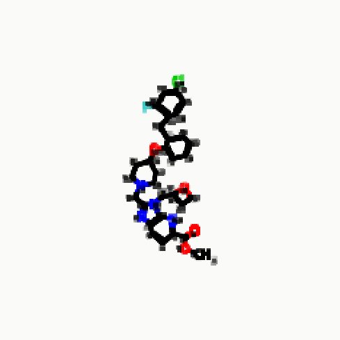 COC(=O)c1ccc2nc(CN3CCC(Oc4ccccc4Cc4ccc(Cl)cc4F)CC3)n(C[C@@H]3CCO3)c2n1